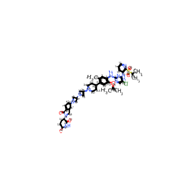 Cc1cc(Nc2ncc(Cl)c(Nc3cccnc3S(=O)(=O)C(C)C)n2)c(OC(C)C)cc1C1CCN(C2CN(C3CN(c4ccc5c(c4)CN(C4CCC(=O)NC4=O)C5=O)C3)C2)CC1